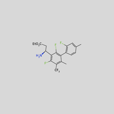 CCOC(=O)C[C@H](N)c1c(F)c(-c2ccc(C)cc2F)c(C)c(C(F)(F)F)c1F